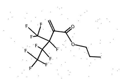 C=C(C(=O)OCCC)C(F)(C(F)(F)F)C(F)(F)C(F)(F)F